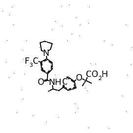 CC(Cc1ccc(OC(C)(C)C(=O)O)cc1)NC(=O)c1ccc(N2CCCCC2)c(C(F)(F)F)c1